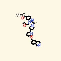 COC(=O)c1ccc2nc([C@H](C)N3CCC(c4cccc(OCc5ccc6cnccc6c5)n4)CC3)n(CC3CCO3)c2c1